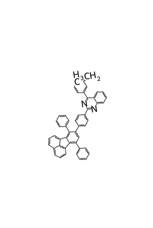 C=C/C=C(\C=C/C)c1nc(-c2ccc(-c3cc(-c4ccccc4)c4c(c3-c3ccccc3)-c3cccc5cccc-4c35)cc2)nc2ccccc12